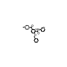 CN1CCN(C(=O)c2ccc(OCc3ccccc3)c(C(=O)Nc3cccnc3)c2)CC1